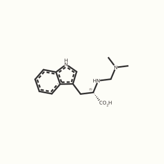 CN(C)CN[C@@H](Cc1c[nH]c2ccccc12)C(=O)O